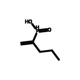 C=C(CCC)[PH](=O)O